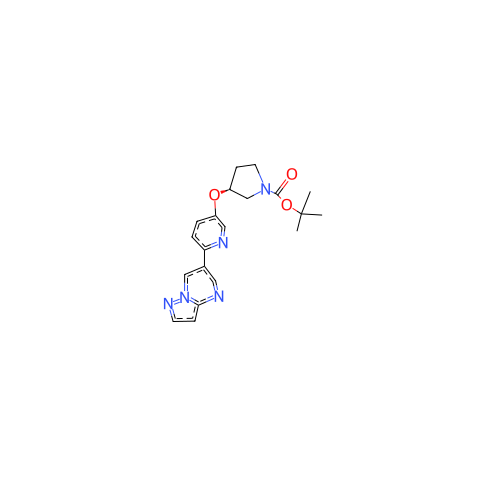 CC(C)(C)OC(=O)N1CC[C@H](Oc2ccc(-c3cnc4ccnn4c3)nc2)C1